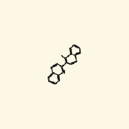 Cc1c(-c2ccc3ccccc3n2)ccc2ccccc12